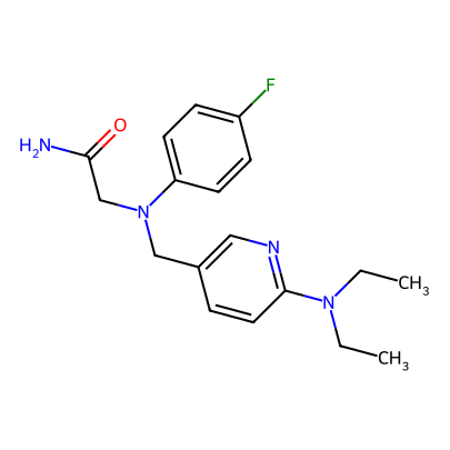 CCN(CC)c1ccc(CN(CC(N)=O)c2ccc(F)cc2)cn1